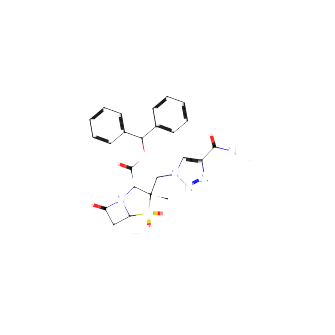 C[C@]1(Cn2cc(C(N)=O)nn2)[C@H](C(=O)OC(c2ccccc2)c2ccccc2)N2C(=O)C[C@@H]2S1(=O)=O